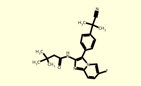 CC(C)(C)CC(=O)Nc1nc2ccc(F)cn2c1-c1ccc(C(C)(C)C#N)cc1